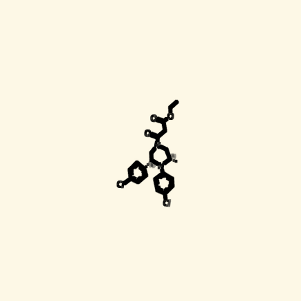 CCOC(=O)CC(=O)N1C[C@H](C)N(c2ccc(Cl)cc2)[C@H](c2ccc(Cl)cc2)C1